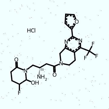 Cl.N[C@@H](CC(=O)N1CCc2c(nc(-c3ccco3)nc2C(F)(F)F)C1)CN1C(=O)CCC(F)C1O